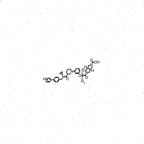 CC(C)(Oc1cccc(N2CCCC(C(=O)N(Cc3ccc(-c4cn[nH]c4)cc3)C3CC3)C2)c1)C(=O)N1C[C@H]2CN(C(=O)O)C[C@H]2C1